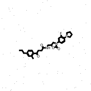 CCCc1ccc(C(=O)CCC(=O)NCC2CN(c3ccc(N4CCCC4)c(F)c3)C(=O)O2)c(C)c1